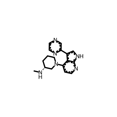 CN[C@@H]1CCCN(c2ccnc3[nH]cc(-c4cnccn4)c23)C1